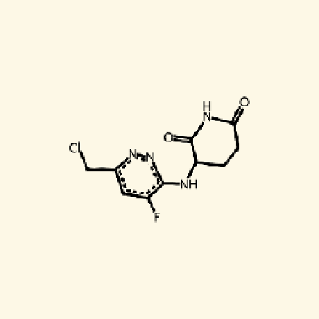 O=C1CCC(Nc2nnc(CCl)cc2F)C(=O)N1